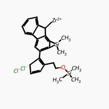 C[Si](C)(C)OCCC1=C(c2cc3c(c4c2[Si]4(C)C)[CH]([Zr+2])c2ccccc2-3)CC=C1.[Cl-].[Cl-]